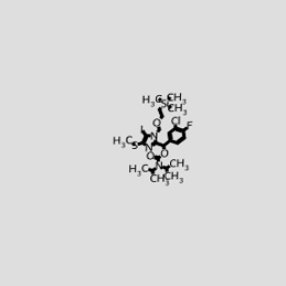 CSc1nc(C(OC(=O)N(C(C)C)C(C)C)c2ccc(F)c(Cl)c2)n(COCC[Si](C)(C)C)c1I